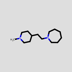 CN1CCC(CCN2CCCCCC2)CC1